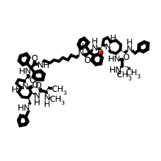 CC[C@H](NC)C(=O)N[C@@H]1C(=O)N2[C@@H](CC[C@@H]1CNCc1ccccc1)CC[C@H]2C(=O)NC(C(=O)NCCCCCCCCNC(=O)C(NC(=O)[C@@H]1CC[C@@H]2CC[C@H](CNCc3ccccc3)[C@H](NC(=O)[C@H](CC)NC)CN21)(c1ccccc1)c1ccccc1)(c1ccccc1)c1ccccc1